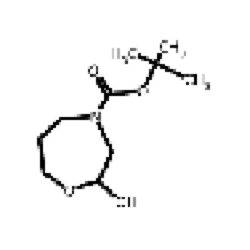 CC(C)(C)OC(=O)N1CCCOC(O)C1